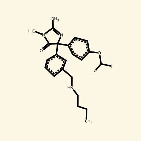 CCCCNCc1cccc(C2(c3ccc(OC(F)F)cc3)N=C(N)N(C)C2=O)c1